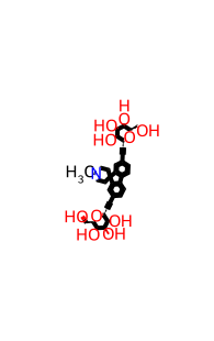 CN1CCC2(CC1)c1cc(C#C[C@H]3O[C@H](CO)[C@@H](O)[C@H](O)[C@@H]3O)ccc1-c1ccc(C#C[C@H]3O[C@H](CO)[C@@H](O)[C@H](O)[C@@H]3O)cc12